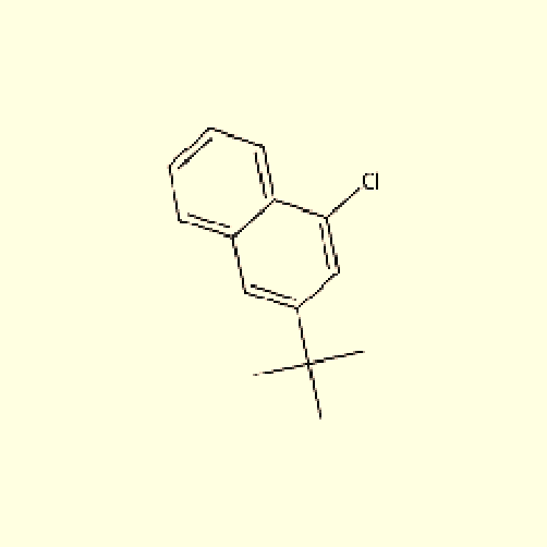 CC(C)(C)c1cc(Cl)c2ccccc2c1